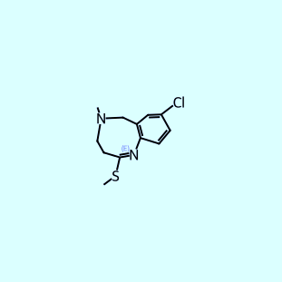 CS/C1=N/c2ccc(Cl)cc2CN(C)CC1